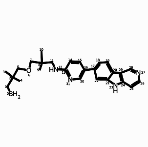 BCC(C)(C)COCC(C)(C)CNc1ccc(-c2ccc3c(c2)[nH]c2ccncc23)cn1